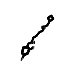 Fc1ccc(CNCCCCNCC2CCC2)c(F)c1